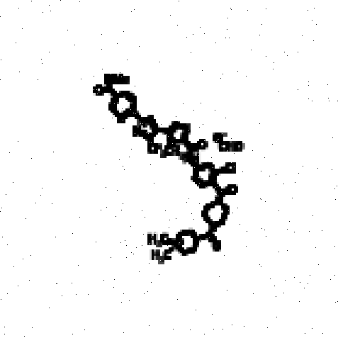 CNC(=O)c1ccc(-n2cc(-c3cnc(C(=O)Nc4ccc(C(=O)N5CCN(C(=O)C6CC[N+](C)(C)CC6)CC5)c(Cl)c4)n3C)c(C(F)(F)F)n2)nc1.O=C[O-]